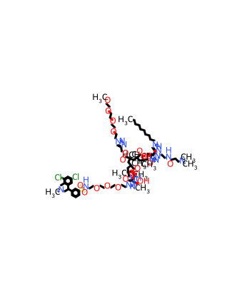 CCCCCCCCCCn1cc(COC(=O)C(C)(C)CC(C)(CC(C)(CC(C)(CC(C)(CC)C(=O)NCC(C)O)C(=O)OCc2cn(CCOCCOCCOCCNS(=O)(=O)c3cccc(C4CN(C)Cc5c(Cl)cc(Cl)cc54)c3)nn2)C(=O)OCc2cn(CCOCCOCCOCCOC)nn2)C(=O)OCc2cn(CCNC(=O)CCN(C)C)nn2)nn1